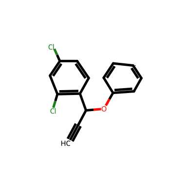 C#CC(Oc1cc[c]cc1)c1ccc(Cl)cc1Cl